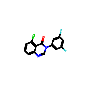 O=c1c2c(Cl)cccc2ncn1-c1cc(F)cc(F)c1